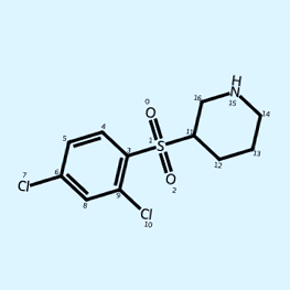 O=S(=O)(c1ccc(Cl)cc1Cl)C1CCCNC1